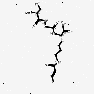 C/C=C/C(=O)NCCCC[C@H](NC(=O)CNC(=O)[C@H](CC(C)C)NC)C(=O)C(C)C